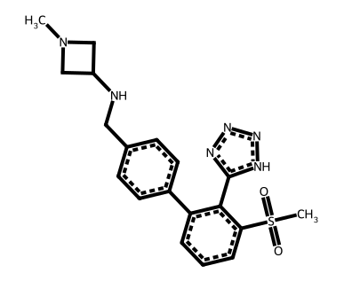 CN1CC(NCc2ccc(-c3cccc(S(C)(=O)=O)c3-c3nnn[nH]3)cc2)C1